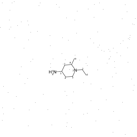 CCN1CCC(N)CC1C